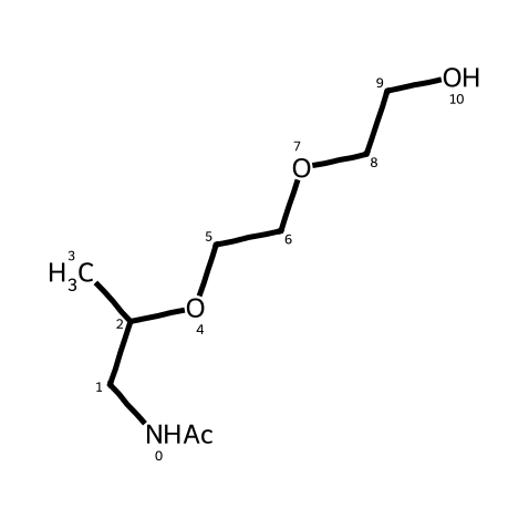 CC(=O)NCC(C)OCCOCCO